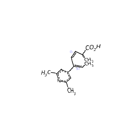 C=C(/C=C\C(=C/C)c1cc(C)nc(C)c1)C(=O)O